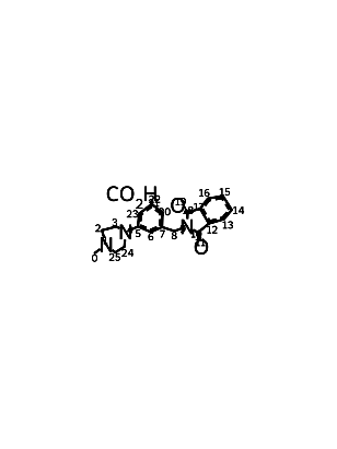 CN1CCN(c2cc(CN3C(=O)c4ccccc4C3=O)cc(C(=O)O)c2)CC1